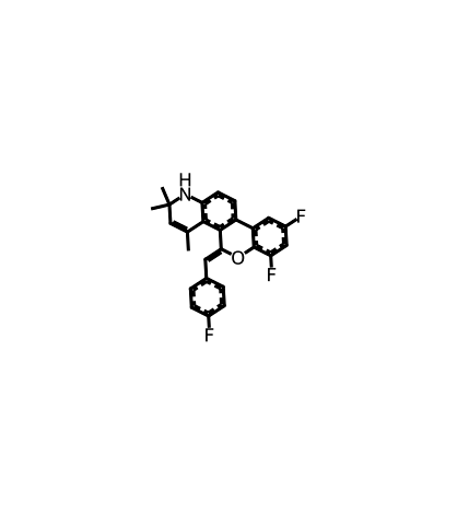 CC1=CC(C)(C)Nc2ccc3c(c21)/C(=C/c1ccc(F)cc1)Oc1c(F)cc(F)cc1-3